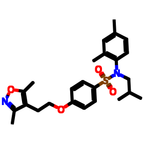 Cc1ccc(N(CC(C)C)S(=O)(=O)c2ccc(OCCc3c(C)noc3C)cc2)c(C)c1